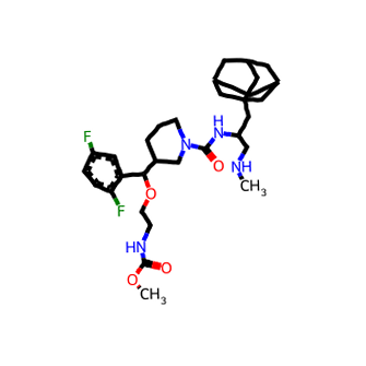 CNCC(CC12CC3CC(CC(C3)C1)C2)NC(=O)N1CCCC(C(OCCNC(=O)OC)c2cc(F)ccc2F)C1